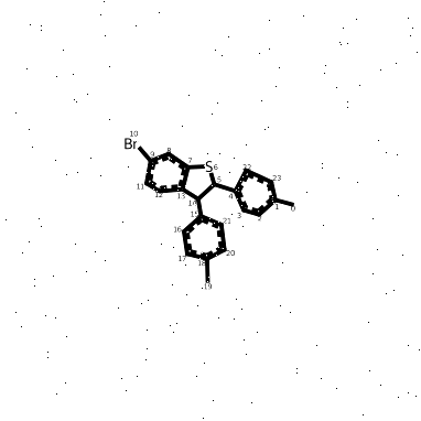 Cc1ccc(C2Sc3cc(Br)ccc3C2c2ccc(C)cc2)cc1